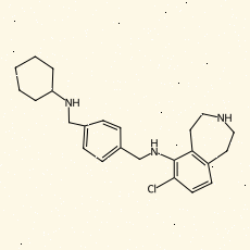 Clc1ccc2c(c1NCc1ccc(CNC3CCCCC3)cc1)CCNCC2